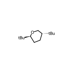 CC(C)(C)[C@@H]1CC[C@@H](C(C)(C)C)OC1